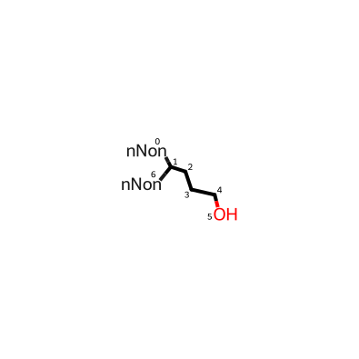 CCCCCCCCCC(CCCO)CCCCCCCCC